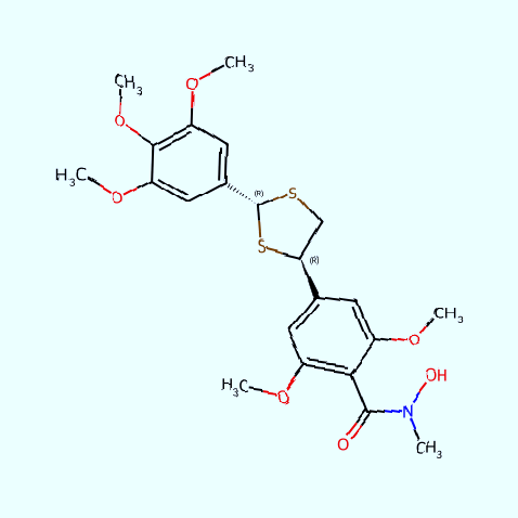 COc1cc([C@@H]2SC[C@@H](c3cc(OC)c(C(=O)N(C)O)c(OC)c3)S2)cc(OC)c1OC